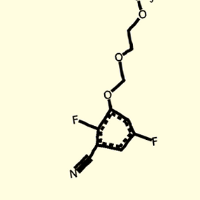 COCCOCOc1cc(F)cc(C#N)c1F